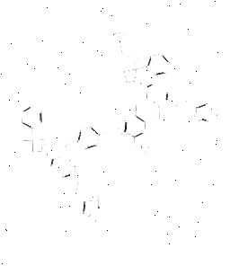 CCCCC1(c2ccccc2)CN(C(=O)[C@@H](Cc2ccc(OC)cc2)NC(=O)CCc2c[nH]cn2)C1.COc1ccc(C[C@@H](NC(=O)CCc2c[nH]cn2)C(=O)N2CC[C@]2(OCC2CC2)c2ccccc2)cc1